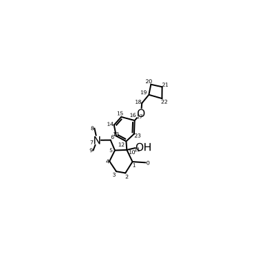 CC1CCCC(CN(C)C)C1(O)c1cccc(OCC2CCC2)c1